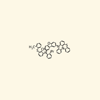 Cc1ccccc1Sc1cccc(N(c2ccc3oc4ccc(N5c6ccccc6N6c7ccccc7Sc7cccc5c76)cc4c3c2)c2ccccc2C(C)C)c1C